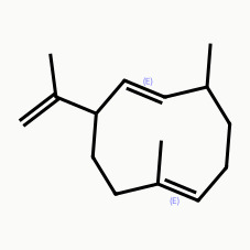 C=C(C)C1/C=C/C(C)CC/C=C(\C)CC1